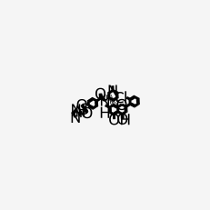 Cc1cc(O)c2c(=O)cc(-c3ccccc3Cl)oc2c1[C@H]1CCN(C)C[C@@H]1NC(=O)c1ccc(S(=O)(=O)n2cncn2)cc1